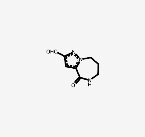 O=Cc1cc2n(n1)CCCNC2=O